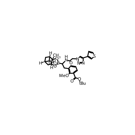 COc1c(CC(NC(=O)Cn2cc(-c3ccsc3)nn2)B2O[C@@H]3C[C@@H]4C[C@@H](C4(C)C)[C@]3(C)O2)cccc1C(=O)OC(C)(C)C